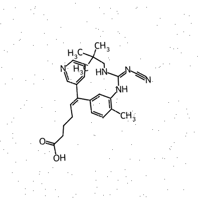 Cc1ccc(/C(=C\CCCC(=O)O)c2cccnc2)cc1N/C(=N\C#N)NCC(C)(C)C